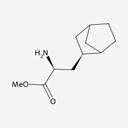 COC(=O)[C@@H](N)C[C@H]1CC2CCC1C2